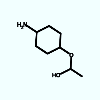 CC(O)OC1CCC(N)CC1